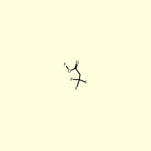 O=C(CC(F)(F)F)OF